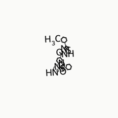 Cc1cccc(-c2csc(NC(=O)c3ccc(N4CCNCC4S(=O)(=O)c4ccccc4)nc3)n2)c1